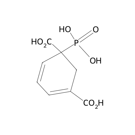 O=C(O)C1=CC=CC(C(=O)O)(P(=O)(O)O)C1